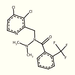 CN(C)N(Cc1nccc(Cl)c1Cl)C(=O)c1ccccc1C(F)(F)F